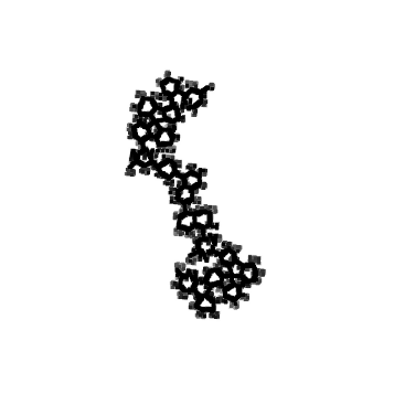 Cc1ccnc(-c2ccccc2-c2cccc3c2-c2ccccc2C3(c2ccccc2)c2cccc(-c3nc(C)cc(-c4ccc(-c5cccc6cc(-c7cccc8c(-c9cc(C)nc(-c%10ccc%11c(c%10)C(c%10ccccc%10)(c%10cccc(-c%12ccccc%12-c%12ccc(C)nc%12)c%10)c%10ccccc%10-%11)n9)cccc78)ccc56)cc4)n3)c2)c1